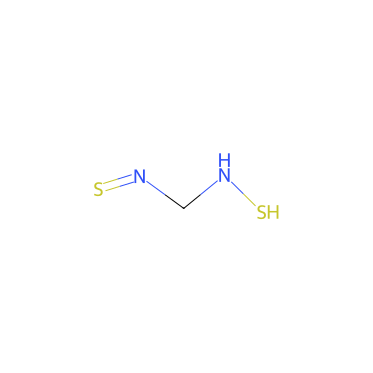 S=NCNS